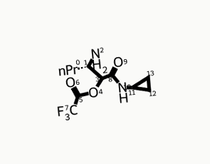 CCC[C@H](N)C(OC(=O)C(F)(F)F)C(=O)NC1CC1